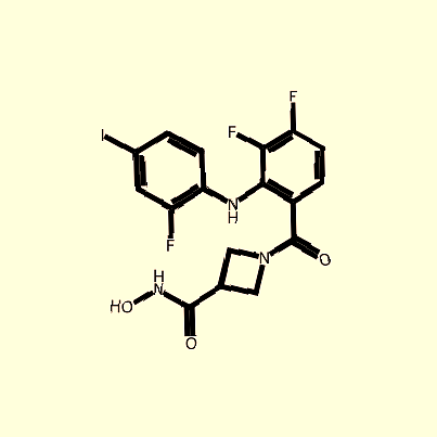 O=C(NO)C1CN(C(=O)c2ccc(F)c(F)c2Nc2ccc(I)cc2F)C1